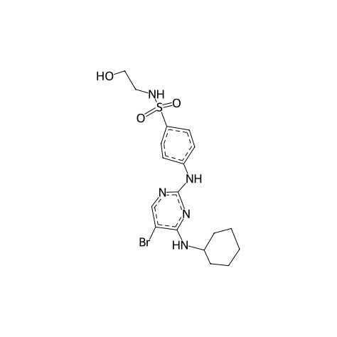 O=S(=O)(NCCO)c1ccc(Nc2ncc(Br)c(NC3CCCCC3)n2)cc1